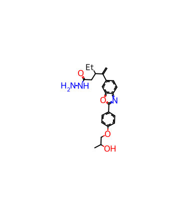 C=C(c1ccc2nc(-c3ccc(OCC(C)O)cc3)oc2c1)C(CC)CC(=O)NN